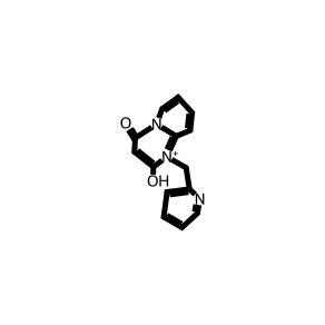 O=c1cc(O)[n+](Cc2ccccn2)c2ccccn12